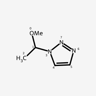 COC(C)n1ccnn1